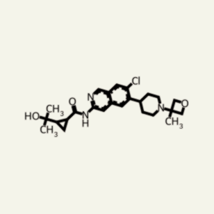 CC(C)(O)C1CC1C(=O)Nc1cc2cc(C3CCN(C4(C)COC4)CC3)c(Cl)cc2cn1